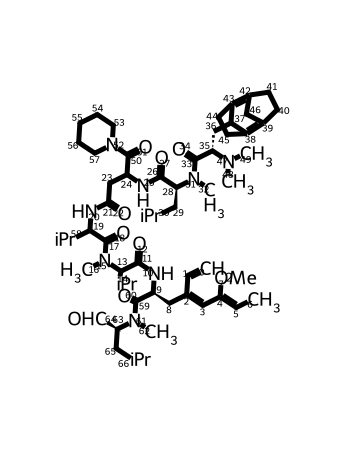 C=C/C(=C\C(=C\C)OC)C[C@H](NC(=O)C(C(C)C)N(C)C(=O)C(NC(=O)CC(NC(=O)[C@H](CC(C)C)N(C)C(=O)[C@H](CC1C2=C3CCC(=C1CC2)C3)N(C)C)C(=O)N1CCCCC1)C(C)C)C(=O)N(C)[C@H](C=O)CC(C)C